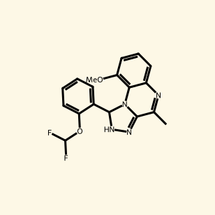 COc1cccc2c1N1C(=NNC1c1ccccc1OC(F)F)C(C)=N2